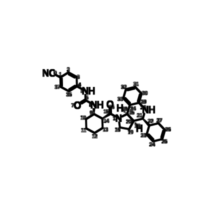 N#Cc1ccc(NC(=O)N[C@@H]2CCCC[C@@H]2C(=O)N2CC[C@@H]3[C@H](C4C=CC=CC4)Nc4ccccc4[C@@H]32)cc1